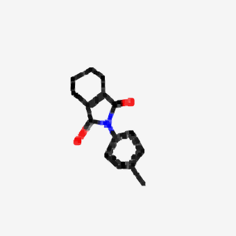 Cc1ccc(N2C(=O)C3=C(CCCC3)C2=O)cc1